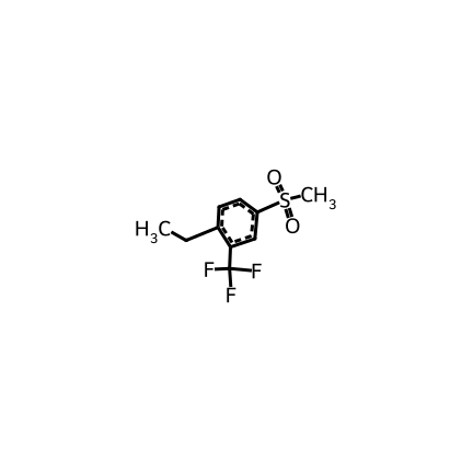 CCc1ccc(S(C)(=O)=O)cc1C(F)(F)F